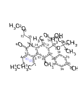 C/C=c1\c(=C/CC)c(=O)n(CCOC)c2c(C)c(C(OC(C)(C)C)C(=O)O)c(-c3ccc(C)cc3)c(C)c12